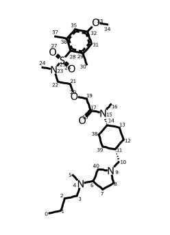 CCCCN(C)C1CCN(C[C@H]2CC[C@@H](N(C)C(=O)COCCN(C)S(=O)(=O)c3c(C)cc(OC)cc3C)CC2)C1